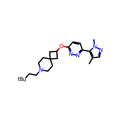 Cc1cnn(C)c1-c1ccc(OC2CC3(CCN(CCC(C)(C)C)CC3)C2)nn1